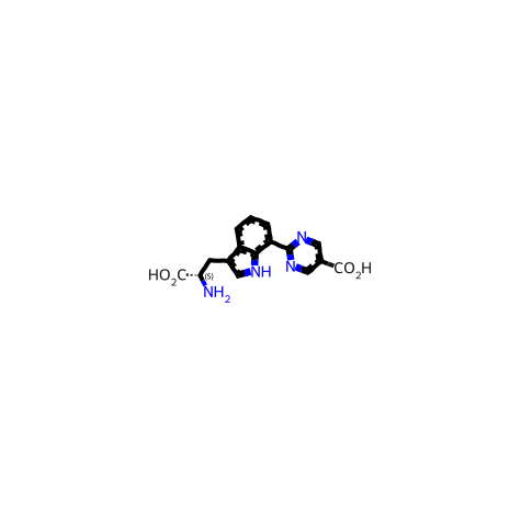 N[C@@H](Cc1c[nH]c2c(-c3ncc(C(=O)O)cn3)cccc12)C(=O)O